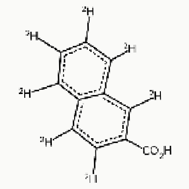 [2H]c1c([2H])c([2H])c2c([2H])c(C(=O)O)c([2H])c([2H])c2c1[2H]